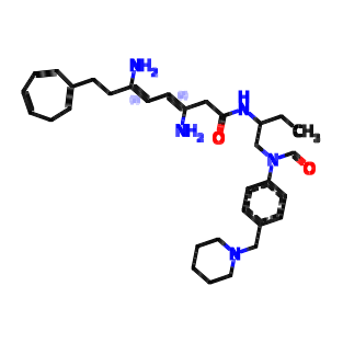 CCC(CN(C=O)c1ccc(CN2CCCCC2)cc1)NC(=O)C/C(N)=C/C=C(\N)CCC1=CCC=CC=C1